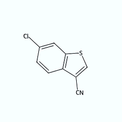 N#Cc1csc2cc(Cl)ccc12